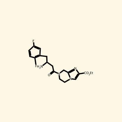 CCOC(=O)c1cn2c(n1)CN(C(=O)CC(N)Cc1cc(F)ccc1F)CC2